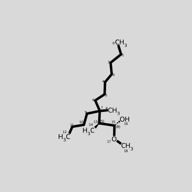 CCCCCCCC(C)(CCCC)[C@H](C)[C@H](O)OC